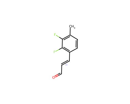 Cc1ccc(/C=C/C=O)c(F)c1F